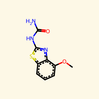 COc1cccc2sc(NC(N)=O)nc12